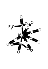 O=[C]=[Mo](=[C]=O)(=[C]=O)(=[C]=O)(=[C]=O)([S](=O)(=O)C(F)(F)F)[S](=O)(=O)C(F)(F)F